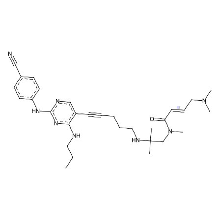 CCCNc1nc(Nc2ccc(C#N)cc2)ncc1C#CCCCNC(C)(C)CN(C)C(=O)/C=C/CN(C)C